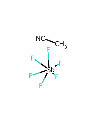 CC#N.[F][Sb-]([F])([F])([F])([F])[F]